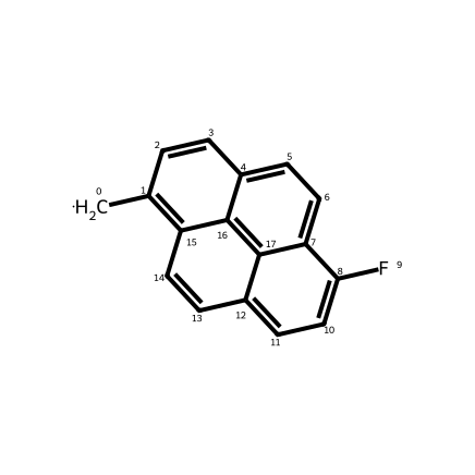 [CH2]c1ccc2ccc3c(F)ccc4ccc1c2c43